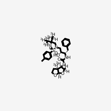 [2H]C([2H])([2H])C([2H])(CN(C[C@@H](O)[C@H](Cc1ccccc1)NC(=O)O[C@@]1([2H])C([2H])([2H])O[C@H]2OCC[C@]21[2H])S(=O)(=O)c1ccc(C)cc1)C([2H])([2H])[2H]